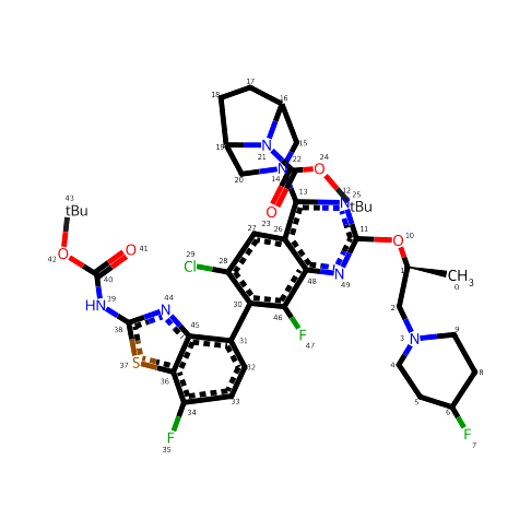 C[C@@H](CN1CCC(F)CC1)Oc1nc(N2CC3CCC(C2)N3C(=O)OC(C)(C)C)c2cc(Cl)c(-c3ccc(F)c4sc(NC(=O)OC(C)(C)C)nc34)c(F)c2n1